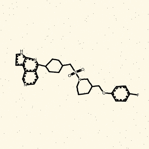 O=S(=O)(CC1CCC(c2nc3[nH]ccc3c3cnccc23)CC1)N1CCCC(COc2ccc(F)cc2)C1